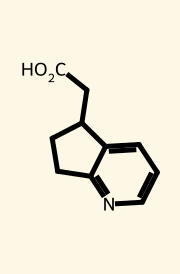 O=C(O)CC1CCc2ncccc21